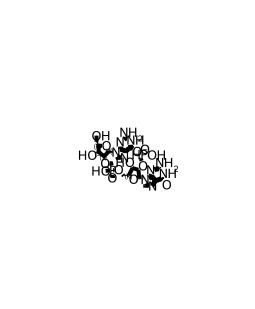 Nc1nc2c(ncn2[C@@H]2O[C@H](COP(=O)(O)CO[C@H]3[C@@H](O)[C@@H](CO)O[C@H]3n3cnc4c(=O)[nH]c(N)nc43)C(O)C2OC[PH](=O)O)c(=O)[nH]1